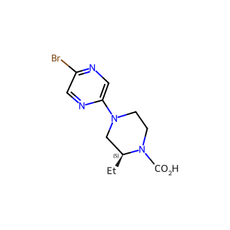 CC[C@H]1CN(c2cnc(Br)cn2)CCN1C(=O)O